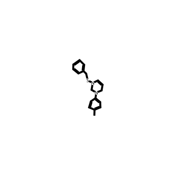 Cc1ccc(N2CC=CN(SCc3ccccc3)C2)cc1